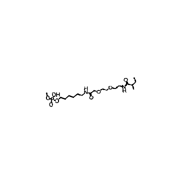 CCC(C)C(=O)NCCOCCOCC(=O)NCCCCCCOP(=O)(O)OC